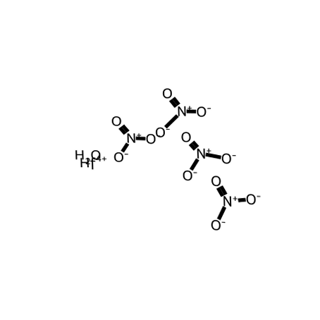 O.O=[N+]([O-])[O-].O=[N+]([O-])[O-].O=[N+]([O-])[O-].O=[N+]([O-])[O-].[Hf+4]